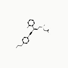 CCCc1ccc(C#C/C(=C/CN(C)CC(=O)O)c2ccccc2Cl)cc1